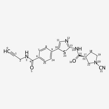 C#CCNC(=O)c1ccc(-c2cnc(NC(=O)[C@H]3CCN(C#N)C3)s2)cc1